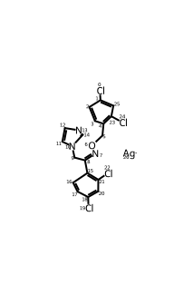 Clc1ccc(CON=C(Cn2ccnc2)c2ccc(Cl)cc2Cl)c(Cl)c1.[Ag]